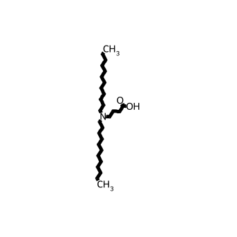 CCCCCCCCCCCCN(CCCCCCCCCCCC)CCCC(=O)O